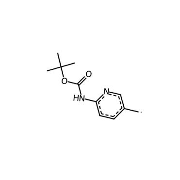 [CH2]c1ccc(NC(=O)OC(C)(C)C)nc1